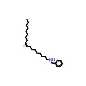 CCCCCCCC/C=C\CCCCCCCCNCc1ccccc1